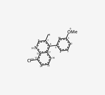 COc1cccc(-c2c(C)cnc3c(Cl)cccc23)c1